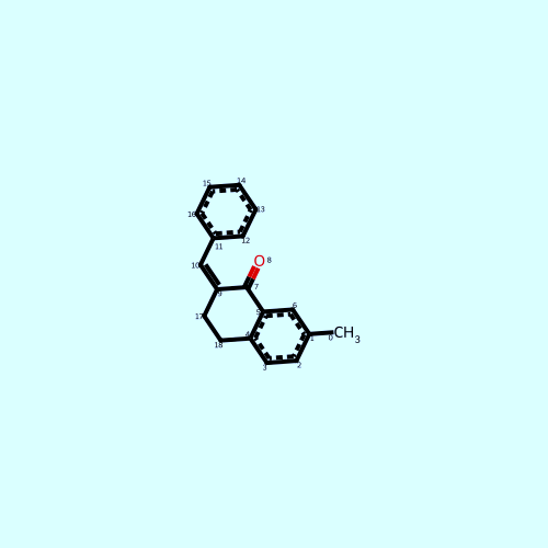 Cc1ccc2c(c1)C(=O)C(=Cc1ccccc1)CC2